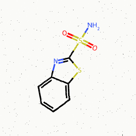 NS(=O)(=O)c1nc2c[c]ccc2s1